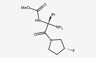 COC(=O)N[C@](N)(C(=O)N1CC[C@@H](F)C1)C(C)C